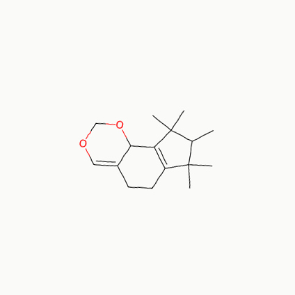 CC1C(C)(C)C2=C(C3OCOC=C3CC2)C1(C)C